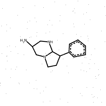 NC1CNC2C(c3ccccc3)CCN2C1